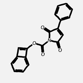 O=C1C=C(c2ccccc2)C(=O)N1C(=O)OC1=Cc2ccccc21